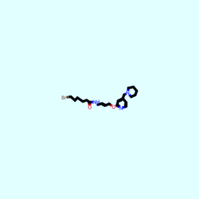 O=C(CCCCCBr)NCC=CCOc1cc(CN2CCCCC2)ccn1